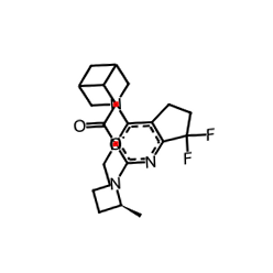 CCOC(=O)CC1C2CC1CN(c1nc(N3CC[C@@H]3C)nc3c1CCC3(F)F)C2